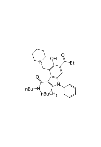 CCCCN(CCCC)C(=O)c1c(C)n(-c2ccccc2)c2cc(C(=O)CC)c(O)c(CN3CCCCC3)c12